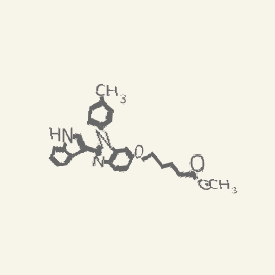 COC(=O)CCCCCOc1ccc2nc(-c3c[nH]c4ccccc34)n(-c3ccc(C)cc3)c2c1